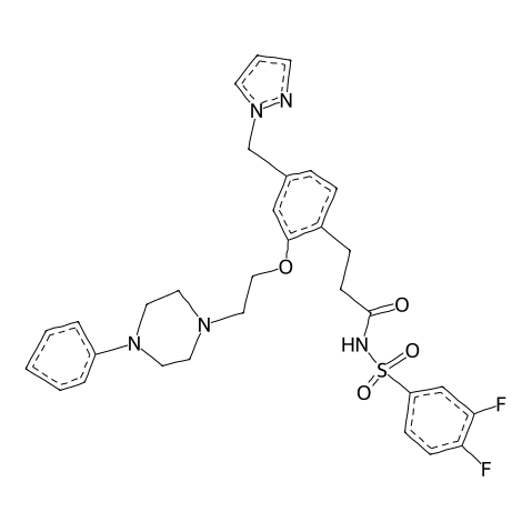 O=C(CCc1ccc(Cn2cccn2)cc1OCCN1CCN(c2ccccc2)CC1)NS(=O)(=O)c1ccc(F)c(F)c1